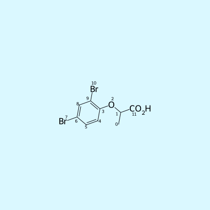 CC(Oc1ccc(Br)cc1Br)C(=O)O